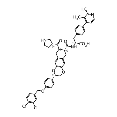 Cc1nccc(-c2ccc(C[C@H](NC(=O)[C@@H]3Cc4cc5c(cc4CN3C(=O)[C@@H]3CCNC3)O[C@@H](c3ccc(OCc4ccc(Cl)c(Cl)c4)cc3)CO5)C(=O)O)cc2)c1C